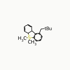 CC(C)(C)Cc1cccc2c1C1C=CC=CC1S2(C)C